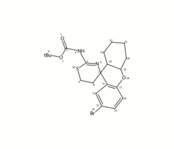 CC(C)(C)OC(=O)NC1=NC2(CCS1)c1cc(Br)ccc1OC1CCCCC12